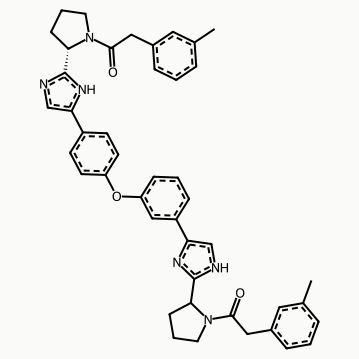 Cc1cccc(CC(=O)N2CCCC2c2nc(-c3cccc(Oc4ccc(-c5cnc([C@@H]6CCCN6C(=O)Cc6cccc(C)c6)[nH]5)cc4)c3)c[nH]2)c1